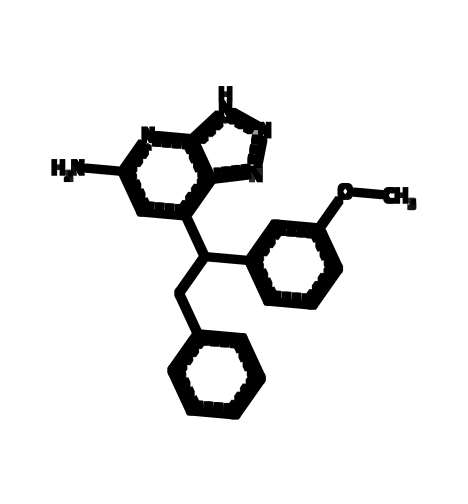 COc1cccc(C(Cc2ccccc2)c2cc(N)nc3[nH]nnc23)c1